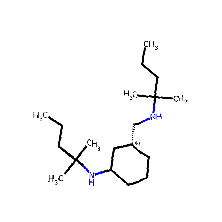 CCCC(C)(C)NC[C@@H]1CCCC(NC(C)(C)CCC)C1